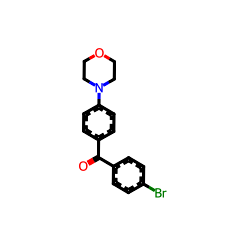 O=C(c1ccc(Br)cc1)c1ccc(N2CCOCC2)cc1